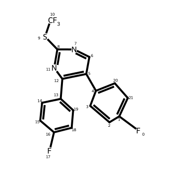 Fc1ccc(-c2cnc(SC(F)(F)F)nc2-c2ccc(F)cc2)cc1